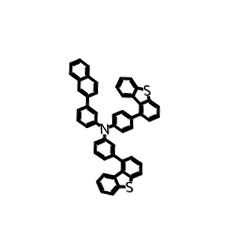 c1cc(-c2ccc3ccccc3c2)cc(N(c2ccc(-c3cccc4sc5ccccc5c34)cc2)c2cccc(-c3cccc4sc5ccccc5c34)c2)c1